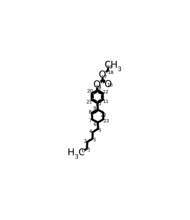 CCCCCCC1CC=C(c2ccc(OC(=O)OCC)cc2)CC1